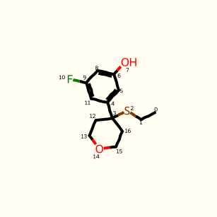 CCSC1(c2cc(O)cc(F)c2)CCOCC1